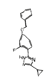 Fc1cc(OCc2ccccc2)ccc1-c1nc(C2CC2)n[nH]1